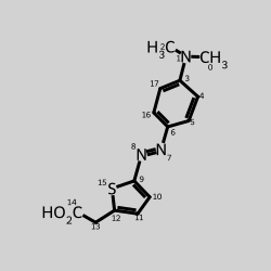 CN(C)c1ccc(N=Nc2ccc(CC(=O)O)s2)cc1